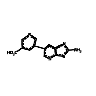 Nc1nc2cc(-c3cncc(C(=O)O)c3)cnc2s1